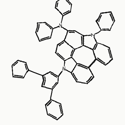 c1ccc(-c2cc(-c3ccccc3)cc(-n3c4cccc5c4c4c6c(ccc43)c(N(c3ccccc3)c3ccccc3)cc3c6c4c-5cccc4n3-c3ccccc3)c2)cc1